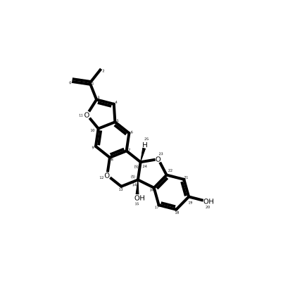 C=C(C)c1cc2cc3c(cc2o1)OC[C@@]1(O)c2ccc(O)cc2O[C@@H]31